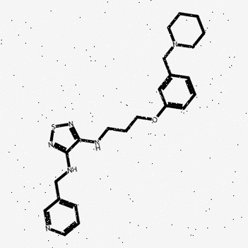 c1cncc(CNc2nsnc2NCCCOc2cccc(CN3CCCCC3)c2)c1